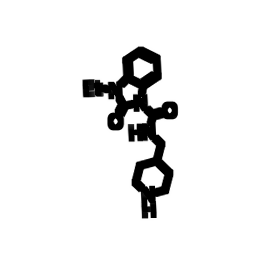 CCn1c(=O)n(C(=O)NCC2CCNCC2)c2ccccc21